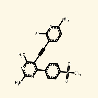 CCc1nc(N)ccc1C#Cc1c(C)nc(N)nc1-c1ccc(S(C)(=O)=O)cc1